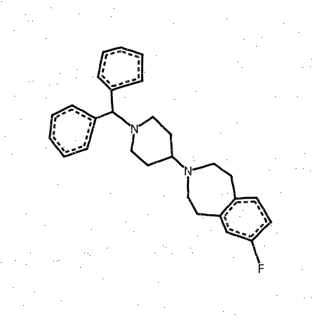 Fc1ccc2c(c1)CCN(C1CCN(C(c3ccccc3)c3ccccc3)CC1)CC2